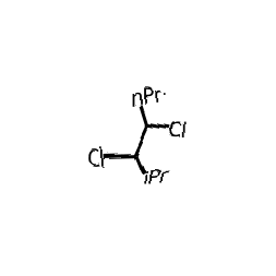 CC[CH]C(Cl)C(Cl)C(C)C